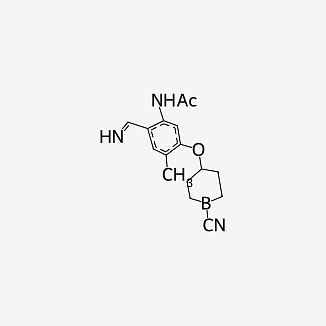 CC(=O)Nc1cc(OC2CCB(C#N)CC2)c(C)cc1C=N